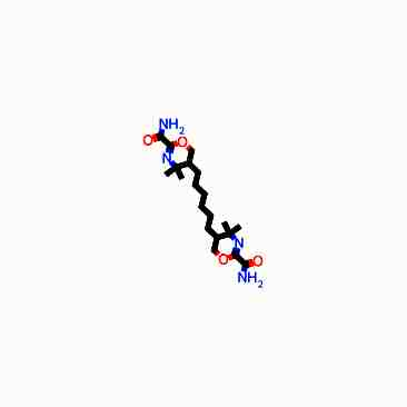 CC1(C)N=C(C(N)=O)OCC1CCCCCCC1COC(C(N)=O)=NC1(C)C